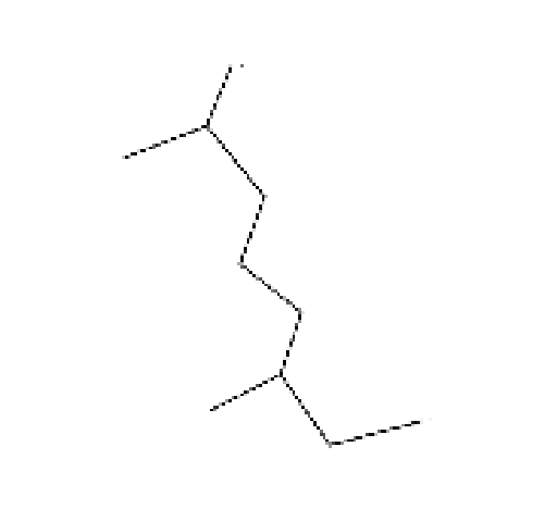 [CH2]CC(C)CCCC([CH2])C